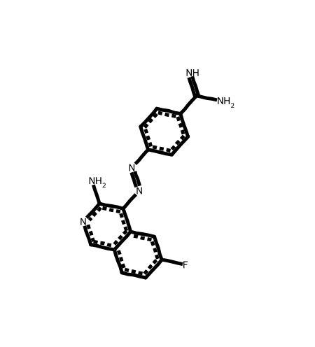 N=C(N)c1ccc(/N=N/c2c(N)ncc3ccc(F)cc23)cc1